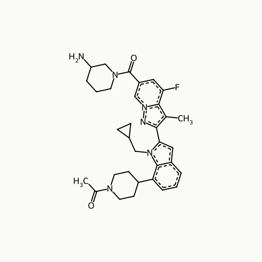 CC(=O)N1CCC(c2cccc3cc(-c4nn5cc(C(=O)N6CCCC(N)C6)cc(F)c5c4C)n(CC4CC4)c23)CC1